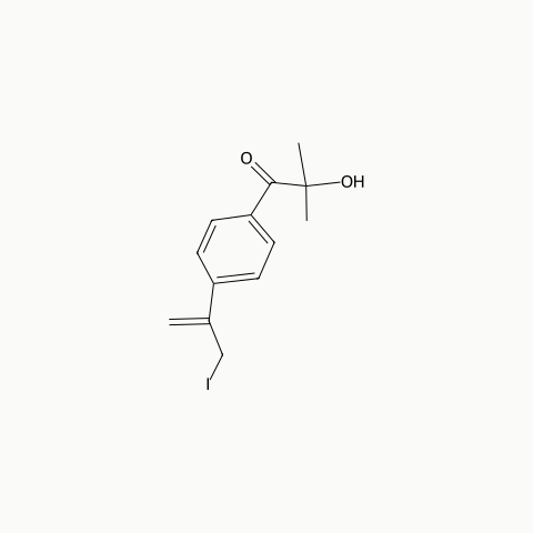 C=C(CI)c1ccc(C(=O)C(C)(C)O)cc1